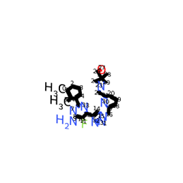 Cc1cccc(-c2nc(N)c(F)c(-c3cn(Cc4cccc(CN5CC6(COC6)C5)n4)nn3)n2)c1C